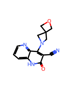 N#Cc1c(N2CC3(COC3)C2)c2ncccc2[nH]c1=O